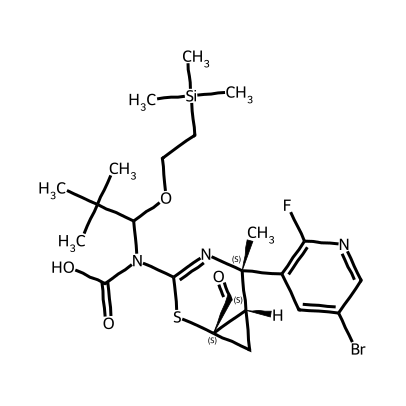 CC(C)(C)C(OCC[Si](C)(C)C)N(C(=O)O)C1=N[C@](C)(c2cc(Br)cnc2F)[C@@H]2C[C@]2(C=O)S1